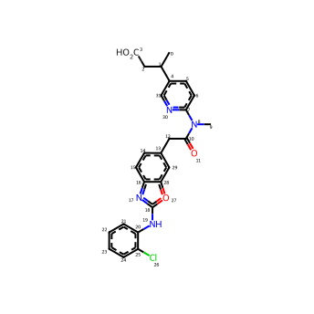 CC(CC(=O)O)c1ccc(N(C)C(=O)Cc2ccc3nc(Nc4ccccc4Cl)oc3c2)nc1